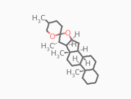 CC1CCC2(OC1)O[C@H]1C[C@H]3[C@@H]4CCC5CCCC[C@]5(C)[C@H]4CC[C@]3(C)[C@H]1[C@@H]2C